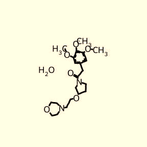 COc1cc(CC(=O)N2CCC(OCCN3CCOCC3)C2)cc(OC)c1OC.O